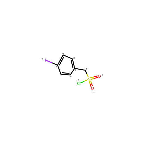 O=S(=O)(Cl)Cc1ccc(I)cc1